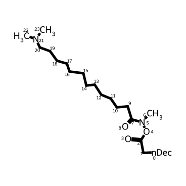 CCCCCCCCCCCC(=O)ON(C)C(=O)CCCCCCCCCCCCN(C)C